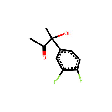 CC(=O)C(C)(O)c1ccc(F)c(F)c1